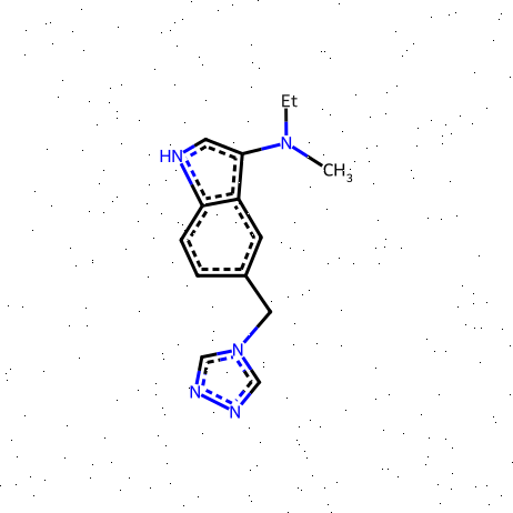 CCN(C)c1c[nH]c2ccc(Cn3cnnc3)cc12